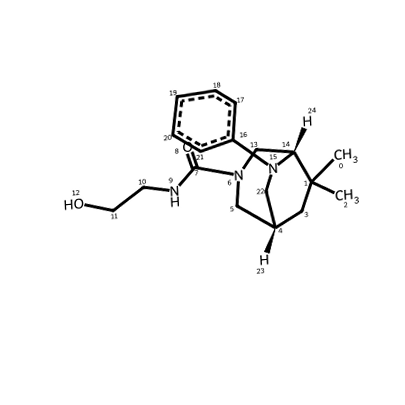 CC1(C)C[C@@H]2CN(C(=O)NCCO)C[C@H]1N(c1ccccc1)C2